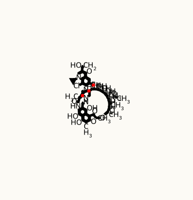 C=C(O)c1cn(C2CC2)c2c(Cl)c(N3CCN(/N=C/c4c5c(O)c6c(O)c(C)c7c(c6c4O)C(=O)[C@@](C)(O/C=C/[C@H](OC)[C@@H](C)[C@@H](OC(C)=O)[C@H](C)[C@H](O)[C@H](C)[C@@H](O)[C@@H](C)/C=C/C=C(/C)C(=O)N5)O7)CC3)c(F)cc2c1=O